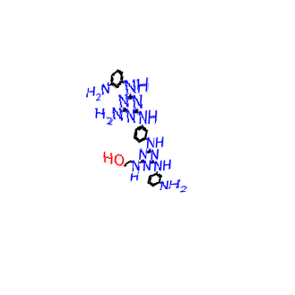 Nc1cccc(Nc2nc(N)nc(Nc3cccc(Nc4nc(NCCO)nc(Nc5cccc(N)c5)n4)c3)n2)c1